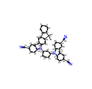 CC1(C)c2ccccc2-c2cc3c4cc(C#N)ccc4n(-c4cccc(-n5c6ccc(C#N)cc6c6cc(C#N)ccc65)c4)c3cc21